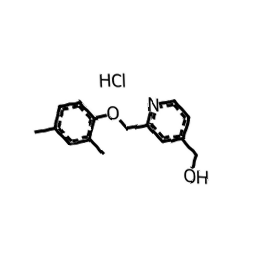 Cc1ccc(OCc2cc(CO)ccn2)c(C)c1.Cl